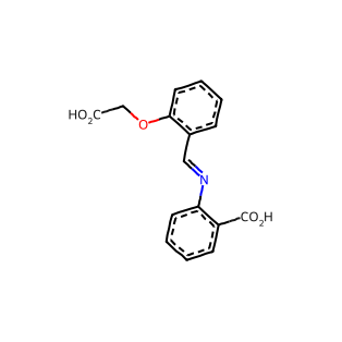 O=C(O)COc1ccccc1C=Nc1ccccc1C(=O)O